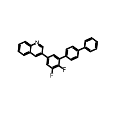 Fc1cc(-c2cnc3ccccc3c2)cc(-c2ccc(-c3ccccc3)cc2)c1F